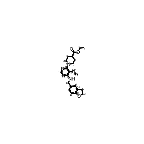 CCOC(=O)C1CCN(c2ncnc(NCc3ccc4c(c3)CCO4)c2N=O)CC1